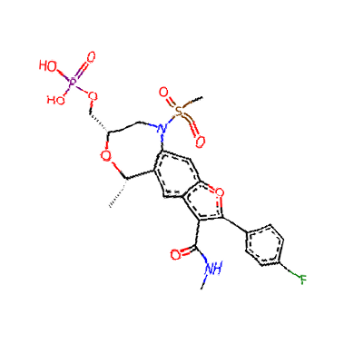 CNC(=O)c1c(-c2ccc(F)cc2)oc2cc3c(cc12)[C@H](C)O[C@H](COP(=O)(O)O)CN3S(C)(=O)=O